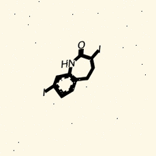 O=C1Nc2cc(I)ccc2CCC1I